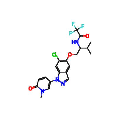 CC(C)C(COc1cc2cnn(-c3ccc(=O)n(C)c3)c2cc1Cl)NC(=O)C(F)(F)F